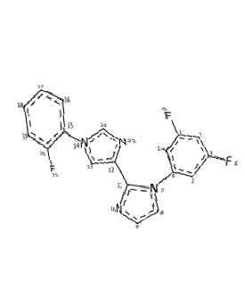 Fc1cc(F)cc(-n2c[c]nc2-c2cn(-c3ccccc3F)cn2)c1